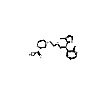 Cc1ccccc1/C(=C/OCCN1CCC[C@@H](C(=O)O)C1)c1sccc1C